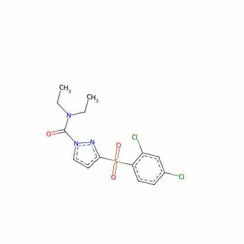 CCN(CC)C(=O)n1ccc(S(=O)(=O)c2ccc(Cl)cc2Cl)n1